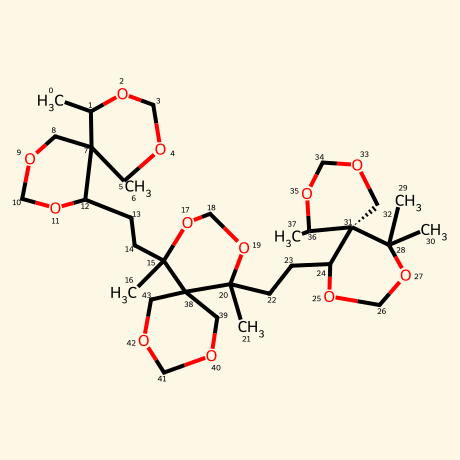 CC1OCOC(C)C12COCOC2CCC1(C)OCOC(C)(CCC2OCOC(C)(C)[C@@]23COCOC3C)C12COCOC2